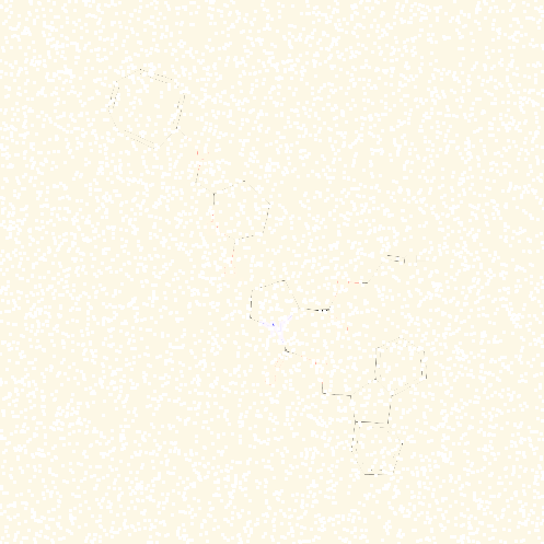 C=CCOC(=O)[C@@H]1C[C@@H](OC2CCCC(COC3=C/C=C\C=C/C=C\3)O2)CN1C(=O)OCC1c2ccccc2-c2ccccc21